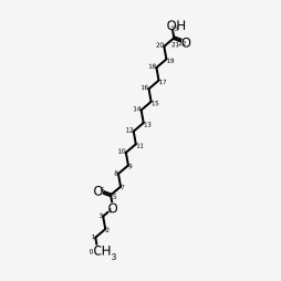 CCCCOC(=O)CCCCCCCCCCCCCCC(=O)O